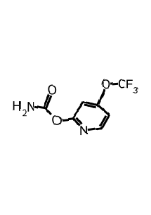 NC(=O)Oc1cc(OC(F)(F)F)ccn1